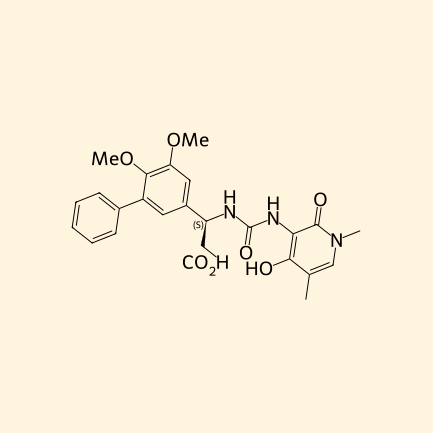 COc1cc([C@H](CC(=O)O)NC(=O)Nc2c(O)c(C)cn(C)c2=O)cc(-c2ccccc2)c1OC